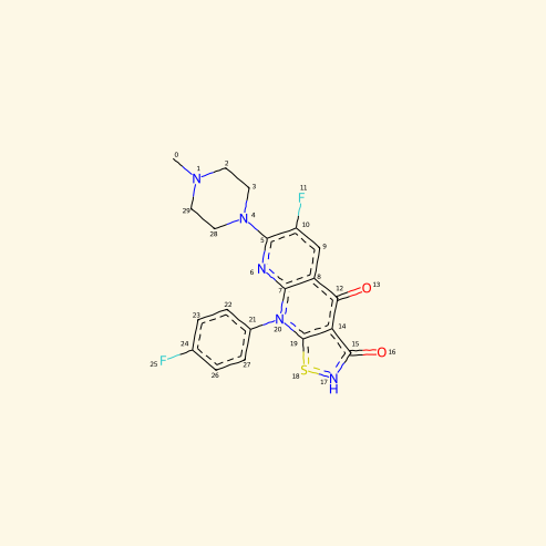 CN1CCN(c2nc3c(cc2F)c(=O)c2c(=O)[nH]sc2n3-c2ccc(F)cc2)CC1